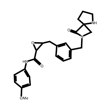 COc1ccc(NC(=O)C2OC2Cc2cccc(CN3CC4(CCCN4)C3=O)c2)cc1